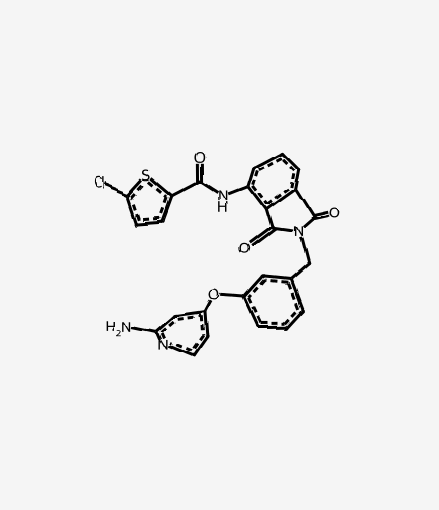 Nc1cc(Oc2cccc(CN3C(=O)c4cccc(NC(=O)c5ccc(Cl)s5)c4C3=O)c2)ccn1